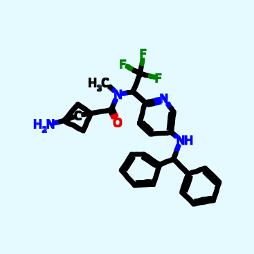 CN(C(=O)C12CC(N)(C1)C2)C(c1ccc(NC(c2ccccc2)c2ccccc2)cn1)C(F)(F)F